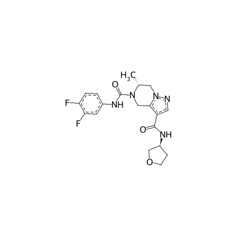 C[C@@H]1Cn2ncc(C(=O)N[C@H]3CCOC3)c2CN1C(=O)Nc1ccc(F)c(F)c1